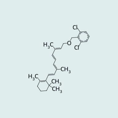 CC(C=CC1=C(C)CCCC1(C)C)=CC=CC(C)=CCOCc1c(Cl)cccc1Cl